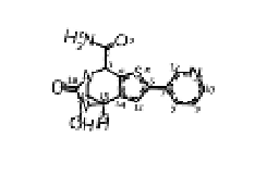 NC(=O)C1c2sc(-c3cccnc3)cc2[C@H]2CN1C(=O)N2O